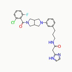 O=C(Cc1ncc[nH]1)NCCCc1cccc(N2CC3CN(C(=O)c4c(F)cccc4Cl)CC3C2)c1